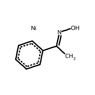 CC(=NO)c1ccccc1.[Ni]